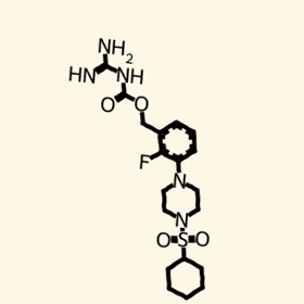 N=C(N)NC(=O)OCc1cccc(N2CCN(S(=O)(=O)C3CCCCC3)CC2)c1F